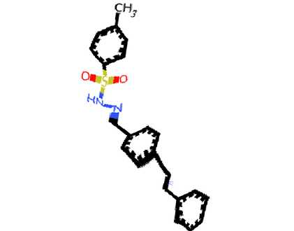 Cc1ccc(S(=O)(=O)NN=Cc2ccc(/C=C/c3ccccc3)cc2)cc1